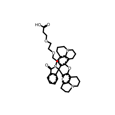 O=C(O)CCOCCOCCN1C(=O)c2ccccc2C12c1cc3c4c(c1Oc1c2cc2c5c1CCCN5CCC2)CCCN4CCC3